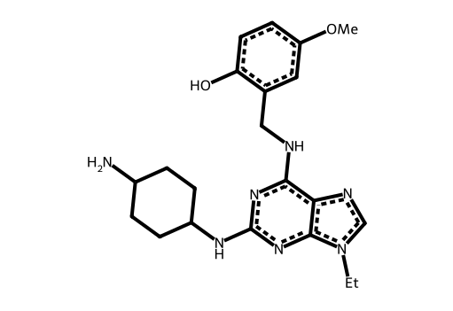 CCn1cnc2c(NCc3cc(OC)ccc3O)nc(NC3CCC(N)CC3)nc21